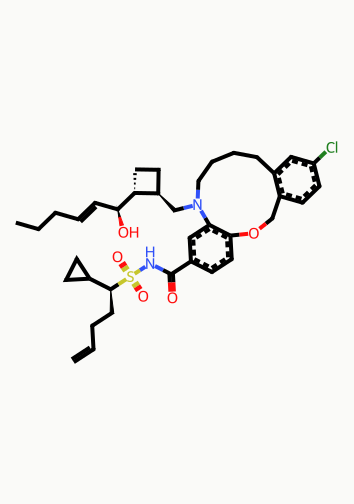 C=CCC[C@@H](C1CC1)S(=O)(=O)NC(=O)c1ccc2c(c1)N(C[C@@H]1CC[C@H]1[C@@H](O)/C=C/CCC)CCCCc1cc(Cl)ccc1CO2